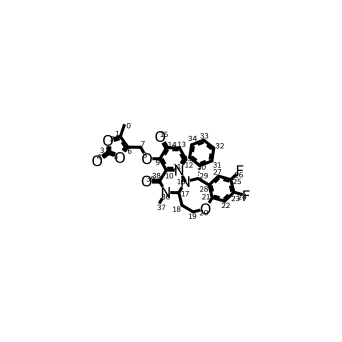 Cc1oc(=O)oc1COc1c2n(ccc1=O)N1C(CCOc3cc(F)c(F)cc3[C@H]1c1ccccc1)N(C)C2=O